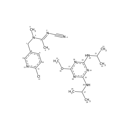 C/C(=N\C#N)N(C)Cc1ccc(Cl)nc1.COc1nc(NC(C)C)nc(NC(C)C)n1